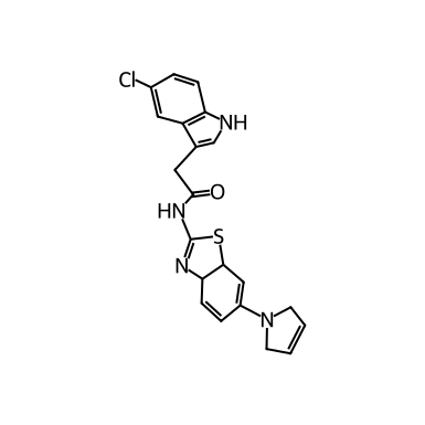 O=C(Cc1c[nH]c2ccc(Cl)cc12)NC1=NC2C=CC(N3CC=CC3)=CC2S1